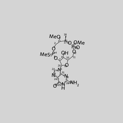 COC1COP(SC)OC2C(O)C(COP(=O)(OC)O[C@@H]1C)OC2n1cnc2c(=O)[nH]c(N)nc21